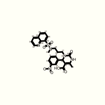 CC1=C(C(=O)O)C(c2cccc([N+](=O)[O-])c2)N(CCCN(C)S(=O)(=O)c2cccc3cccnc23)C(=O)N1